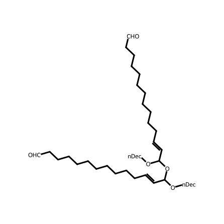 CCCCCCCCCCOC(C=CCCCCCCCCCCC=O)OC(C=CCCCCCCCCCCC=O)OCCCCCCCCCC